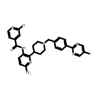 O=C(Nc1ccc(C(F)(F)F)nc1C1CCN(Cc2ccc(-c3ncc(F)cn3)cc2)CC1)c1ccnc(Cl)c1